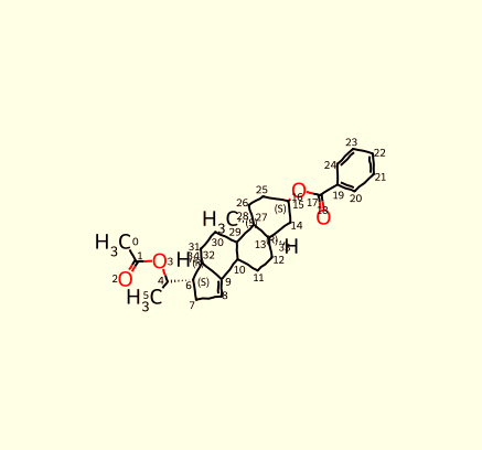 CC(=O)OC(C)[C@H]1CC=C2C3CC[C@@H]4C[C@@H](OC(=O)c5ccccc5)CC[C@]4(C)C3CC[C@@H]21